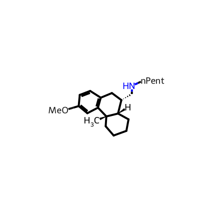 CCCCCNC[C@H]1Cc2ccc(OC)cc2[C@@]2(C)CCCC[C@@H]12